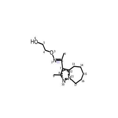 C/C(=N\OCCO)c1c(C)nn2c1CCCCC2